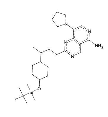 CC(CCc1ncc2c(N)ncc(N3CCCC3)c2n1)C1CCC(O[Si](C)(C)C(C)(C)C)CC1